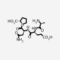 C[C@H](N)C(=O)N[C@@H](CCC(=O)O)C(=O)N[C@@H](CC(N)=O)C(=O)N1CCC[C@H]1C(=O)O